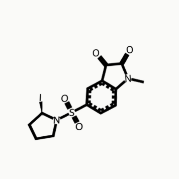 CN1C(=O)C(=O)c2cc(S(=O)(=O)N3CCC[C@H]3I)ccc21